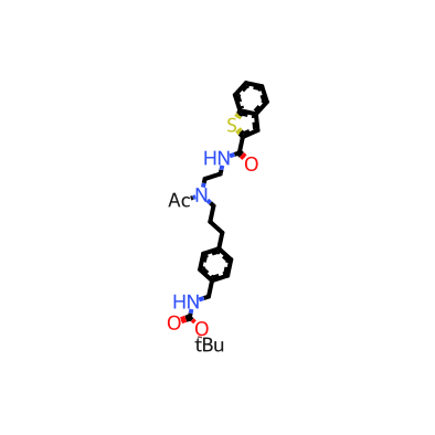 CC(=O)N(CCCc1ccc(CNC(=O)OC(C)(C)C)cc1)CCNC(=O)c1cc2ccccc2s1